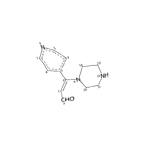 O=CC=C(c1ccncc1)N1CCNCC1